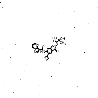 CC(C)(O)C(F)CN1Cc2cc(NC(=O)c3cnn4cccnc34)c(C3COC3)cc2C1=O